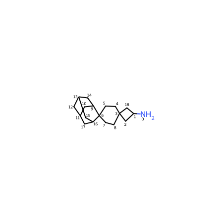 NC1CC2(CCC3(CC2)C2CC4CC(C2)CC3C4)C1